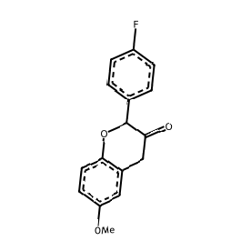 COc1ccc2c(c1)CC(=O)C(c1ccc(F)cc1)O2